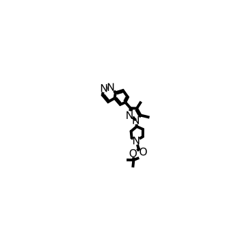 Cc1c(-c2ccc3nnccc3c2)nn(C2CCN(C(=O)OC(C)(C)C)CC2)c1C